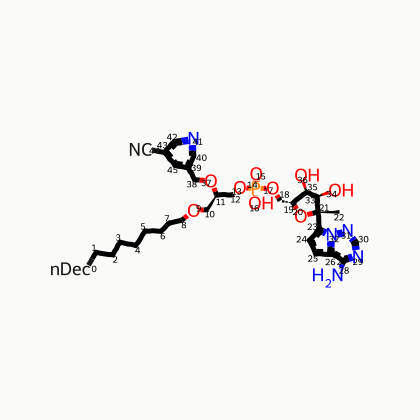 CCCCCCCCCCCCCCCCCCOC[C@H](COP(=O)(O)OC[C@H]1O[C@@](C)(c2ccc3c(N)ncnn23)[C@H](O)[C@@H]1O)OCc1cncc(C#N)c1